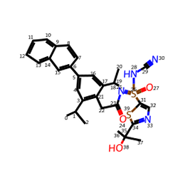 CC(C)c1cc(-c2ccc3ccccc3c2)cc(C(C)C)c1CC(=O)N=S(=O)(NC#N)c1cnc(C(C)(C)O)s1